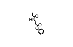 CCC(=O)NCCC(=O)Oc1ccccc1